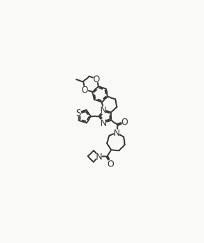 CC1COc2cc3c(cc2O1)-n1c(-c2ccsc2)nc(C(=O)N2CCCC(C(=O)N4CCC4)CC2)c1CC3